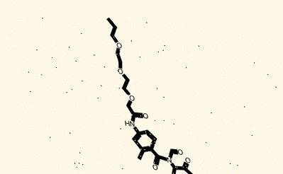 CCCOCCOCCOCC(=O)Nc1ccc(C(=O)N(C=O)C2CCC(=O)NC2=O)c(C)c1